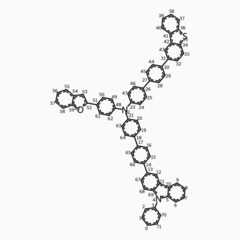 c1ccc(-n2c3ccccc3c3cc(-c4ccc(-c5ccc(N(c6ccc(-c7ccc(-c8ccc9sc%10ccccc%10c9c8)cc7)cc6)c6ccc(-c7cc8ccccc8o7)cc6)cc5)cc4)ccc32)cc1